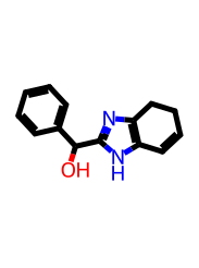 OC(c1ccccc1)c1nc2c([nH]1)C=CCC2